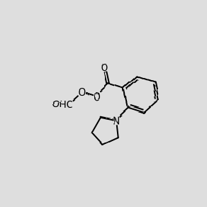 O=COOC(=O)c1ccccc1N1CCCC1